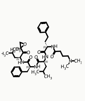 CC(C)C[C@H](NC(=O)[C@H](CCc1ccccc1)NC(=O)CCCN(C)C)C(=O)N[C@@H](Cc1ccccc1)C(=O)N[C@@H](CC(C)C)C(=O)[C@@]1(C)CO1